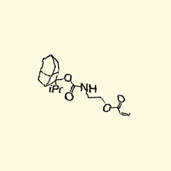 C=CC(=O)OCCNC(=O)OC1(C(C)C)C2CC3CC(C2)CC1C3